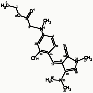 CCOC(=O)CN(C)c1ccc(C=C2C(=O)N(C)N=C2N(C)C)c(Cl)c1